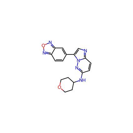 c1cc2nonc2cc1-c1cnc2ccc(NC3CCOCC3)nn12